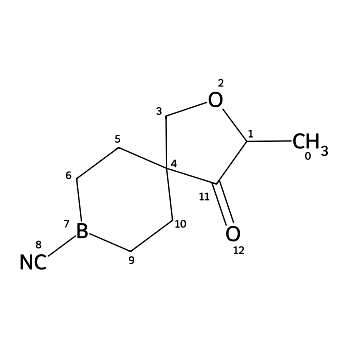 CC1OCC2(CCB(C#N)CC2)C1=O